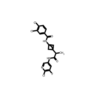 CC(C(=O)Nc1cnc(Cl)c(F)c1)C12CC(NC(=O)c3ccc(Cl)c(Cl)c3)(C1)C2